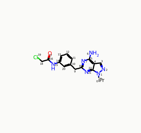 CC(C)n1ncc2c(N)nc(Cc3cccc(NC(=O)CCl)c3)nc21